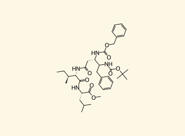 CC[C@H](C)[C@H](NC(=O)C[C@H](NC(=O)OCc1ccccc1)C(Cc1ccccc1)NC(=O)OC(C)(C)C)C(=O)N[C@@H](CC(C)C)C(=O)OC